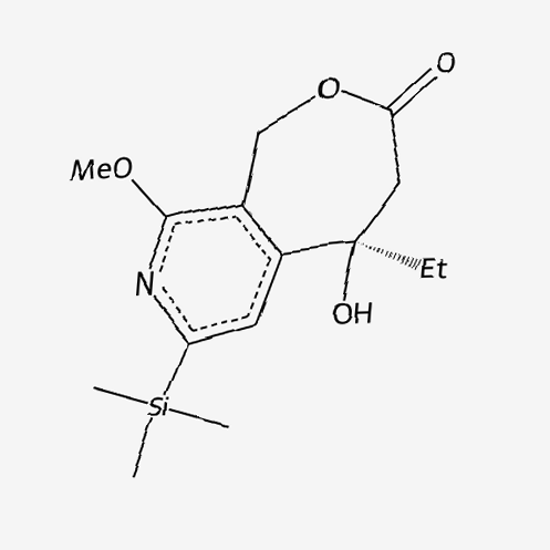 CC[C@@]1(O)CC(=O)OCc2c1cc([Si](C)(C)C)nc2OC